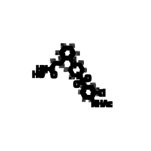 CC(=O)Nc1ccc(S(=O)(=O)N2CCN(c3ccccc3C=CC(=O)NO)CC2)cc1Cl